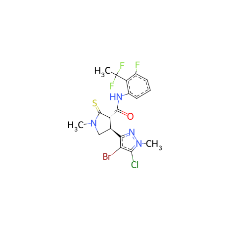 CN1C[C@H](c2nn(C)c(Cl)c2Br)[C@@H](C(=O)Nc2cccc(F)c2C(C)(F)F)C1=S